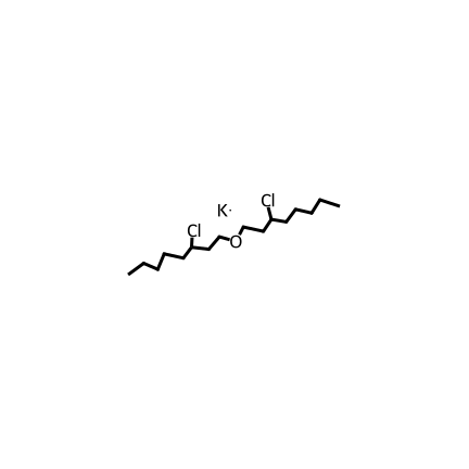 CCCCCC(Cl)CCOCCC(Cl)CCCCC.[K]